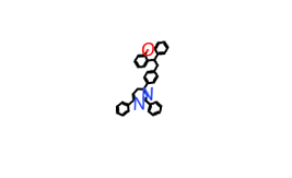 C1=C(c2ccccc2)N=C(c2ccccc2)N=C(c2ccc(CC3c4ccccc4Oc4ccccc43)cc2)C1